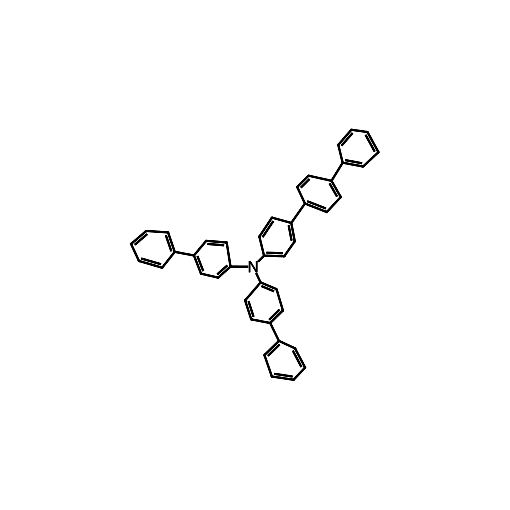 c1ccc(-c2ccc(-c3ccc(N(c4ccc(-c5ccccc5)cc4)c4ccc(-c5ccccc5)cc4)cc3)cc2)cc1